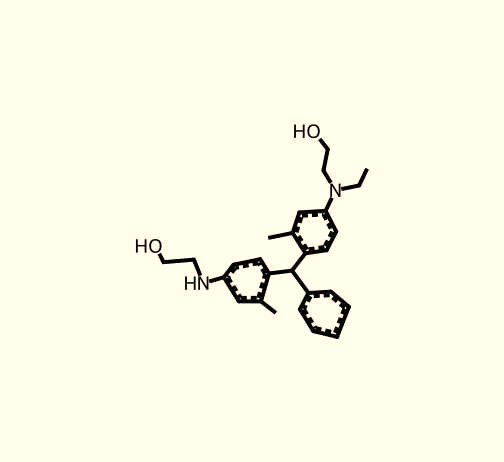 CCN(CCO)c1ccc(C(c2ccccc2)c2ccc(NCCO)cc2C)c(C)c1